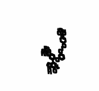 CCS(=O)(=O)Nc1ccc(Oc2cccc(OCCOC3CCN(C(=O)OC(C)(C)C)CC3)c2)c(-c2cn(C)c(=O)c3[nH]ccc23)c1